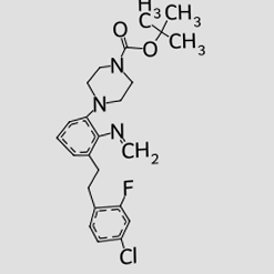 C=Nc1c(CCc2ccc(Cl)cc2F)cccc1N1CCN(C(=O)OC(C)(C)C)CC1